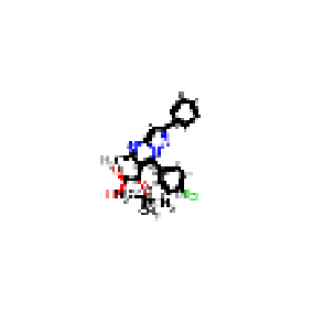 Cc1nc2cc(-c3ccccc3)nn2c(-c2ccc(Cl)cc2)c1C(OC(C)(C)C)C(=O)O